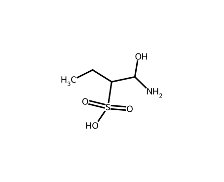 CCC(C(N)O)S(=O)(=O)O